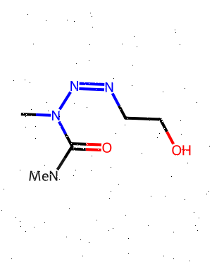 CNC(=O)N(C)/N=N\CCO